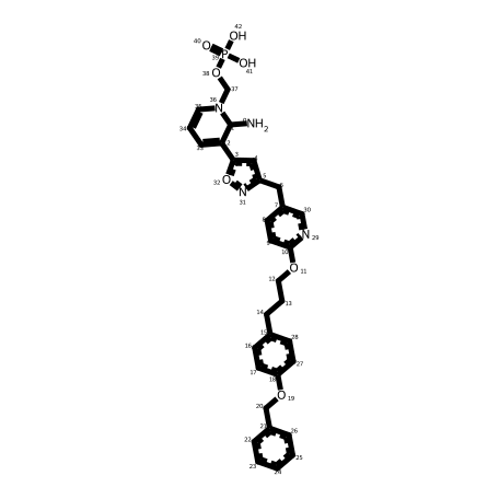 NC1C(c2cc(Cc3ccc(OCCCc4ccc(OCc5ccccc5)cc4)nc3)no2)=CC=CN1COP(=O)(O)O